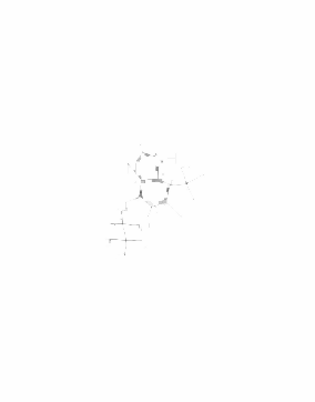 Cc1c2c(c3nc[nH]c3c1C(C)(C)C)OC(C)(C(C)(C)C)O2